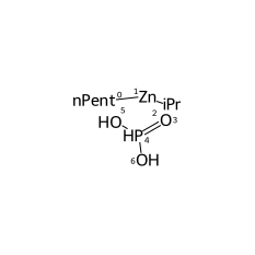 CCCC[CH2][Zn][CH](C)C.O=[PH](O)O